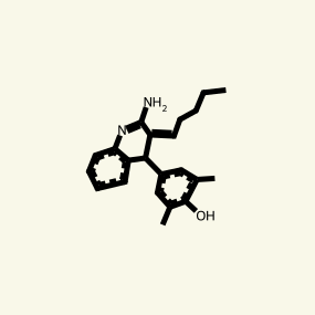 CCCCC=C1C(N)=Nc2ccccc2C1c1cc(C)c(O)c(C)c1